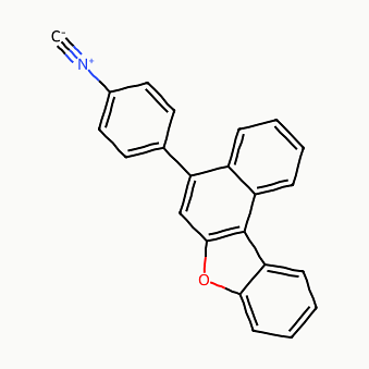 [C-]#[N+]c1ccc(-c2cc3oc4ccccc4c3c3ccccc23)cc1